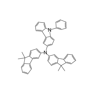 CC1(C)c2ccccc2-c2cc(N(c3ccc4c(c3)-c3ccccc3C4(C)C)c3ccc4c(c3)c3ccccc3n4-c3ccccc3)ccc21